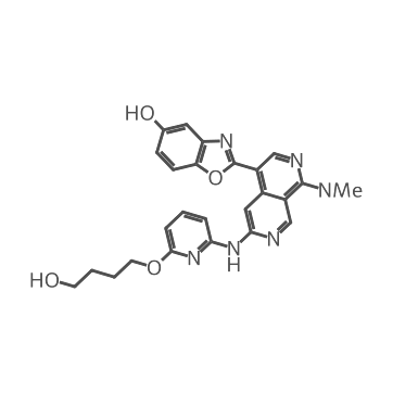 CNc1ncc(-c2nc3cc(O)ccc3o2)c2cc(Nc3cccc(OCCCCO)n3)ncc12